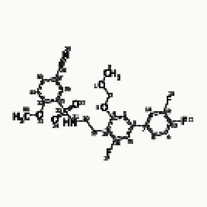 COCOc1cc(-c2ccc(F)c(F)c2)cc(F)c1CCNS(=O)(=O)c1cc(C#N)ccc1OC